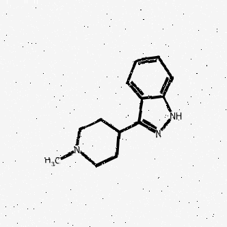 CN1CCC(c2n[nH]c3cc[c]cc23)CC1